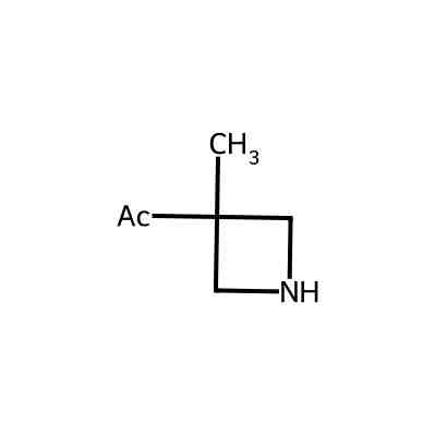 CC(=O)C1(C)CNC1